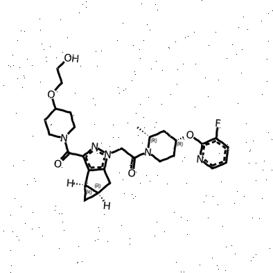 C[C@@H]1C[C@H](Oc2ncccc2F)CCN1C(=O)Cn1nc(C(=O)N2CCC(OCCO)CC2)c2c1C[C@H]1C[C@@H]21